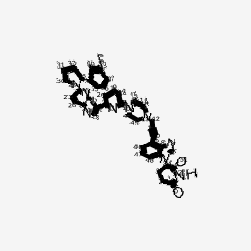 O=C1CCC(n2cnc3c(C#CCN4CCN(c5cccc(-c6cnc7ccc(N8CCC[C@@H]8c8cccc(F)c8)nn67)n5)CC4)cccc32)C(=O)N1